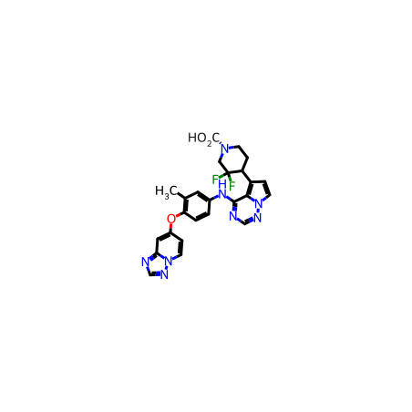 Cc1cc(Nc2ncnn3ccc(C4CCN(C(=O)O)CC4(F)F)c23)ccc1Oc1ccn2ncnc2c1